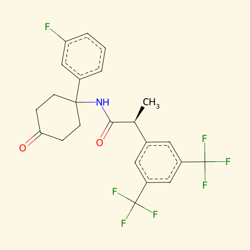 C[C@H](C(=O)NC1(c2cccc(F)c2)CCC(=O)CC1)c1cc(C(F)(F)F)cc(C(F)(F)F)c1